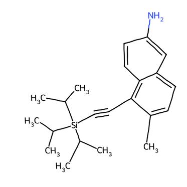 Cc1ccc2cc(N)ccc2c1C#C[Si](C(C)C)(C(C)C)C(C)C